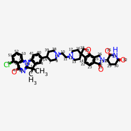 CC1(C)c2cc(C3CCN(CCN4CCC5(CC4)COc4c5ccc5c4CN([C@H]4CCC(=O)NC4=O)C5=O)CC3)ccc2-n2c1nc(=O)c1c(Cl)cccc12